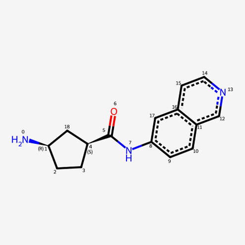 N[C@@H]1CC[C@H](C(=O)Nc2ccc3cnccc3c2)C1